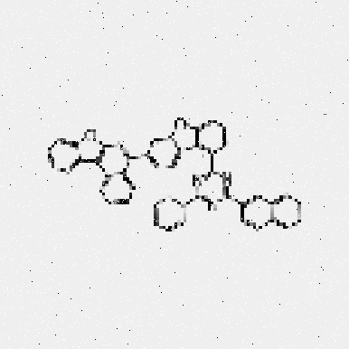 C1=CCC(c2nc(-c3ccc4ccccc4c3)nc(-c3cccc4oc5cc(-c6cc7oc8ccccc8c7c7ccccc67)ccc5c34)n2)C=C1